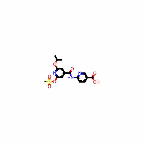 CC(C)Oc1cc(C(=O)Nc2ccc(C(=O)O)cn2)cc(OS(C)(=O)=O)n1